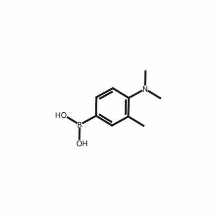 Cc1cc(B(O)O)ccc1N(C)C